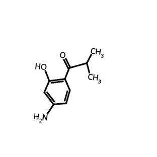 CC(C)C(=O)c1ccc(N)cc1O